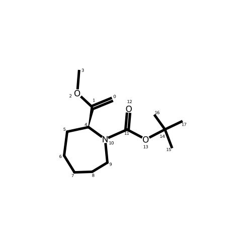 C=C(OC)[C@@H]1CCCCCN1C(=O)OC(C)(C)C